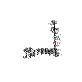 CC(C)C[C@H](N)C(=O)O.CC(C)C[C@H](N)C(=O)O.CC(C)C[C@H](N)C(=O)O.CC(C)C[C@H](N)C(=O)O.CC(C)C[C@H](N)C(=O)O.CC[C@H](C)[C@H](N)C(=O)O.N=C(N)NCCC[C@H](N)C(=O)O.N=C(N)NCCC[C@H](N)C(=O)O.NCCCC[C@H](N)C(=O)O.N[C@@H](Cc1c[nH]c2ccccc12)C(=O)O.O=C(O)[C@@H]1CCCN1.O=C(O)[C@@H]1CCCN1.O=C(O)[C@@H]1CCCN1